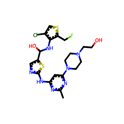 Cc1nc(Nc2ncc(C(O)Nc3c(Cl)csc3CF)s2)cc(N2CCN(CCO)CC2)n1